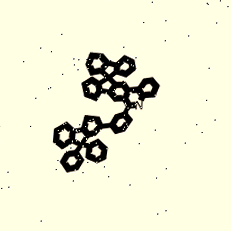 c1ccc(C2(c3ccccc3)c3ccccc3-c3ccc(-c4cccc(-c5nc6ccccc6c6cc7c(cc56)-c5ccccc5C75c6ccccc6-c6ccccc65)c4)cc32)cc1